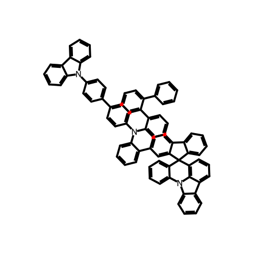 c1ccc(-c2ccccc2-c2ccccc2N(c2ccc(-c3ccc(-n4c5ccccc5c5ccccc54)cc3)cc2)c2ccccc2-c2ccc3c(c2)C2(c4ccccc4-3)c3ccccc3-n3c4ccccc4c4cccc2c43)cc1